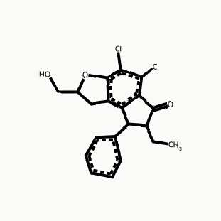 CCC1C(=O)c2c(Cl)c(Cl)c3c(c2C1c1ccccc1)CC(CO)O3